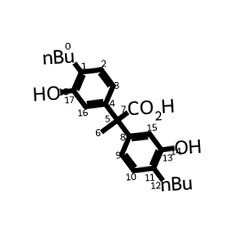 CCCCc1ccc(C(C)(C(=O)O)c2ccc(CCCC)c(O)c2)cc1O